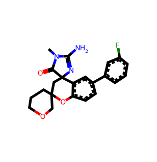 CN1C(=O)C2(CC3(CCCOC3)Oc3ccc(-c4cccc(F)c4)cc32)N=C1N